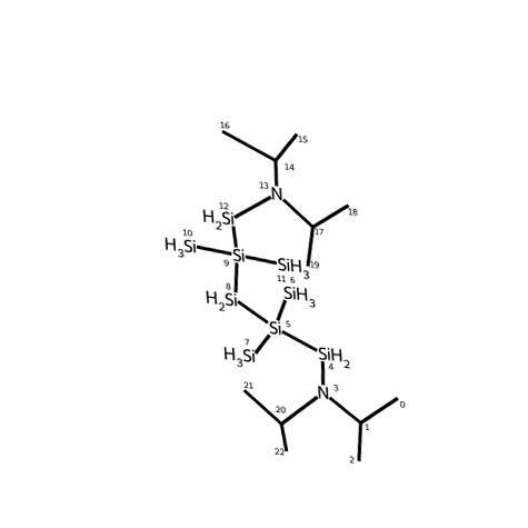 CC(C)N([SiH2][Si]([SiH3])([SiH3])[SiH2][Si]([SiH3])([SiH3])[SiH2]N(C(C)C)C(C)C)C(C)C